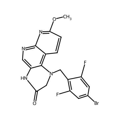 COc1ccc2c3c(cnc2n1)NC(=O)CN3Cc1c(F)cc(Br)cc1F